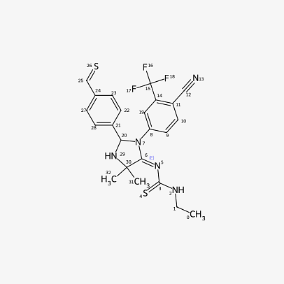 CCNC(=S)/N=C1/N(c2ccc(C#N)c(C(F)(F)F)c2)C(c2ccc(C=S)cc2)NC1(C)C